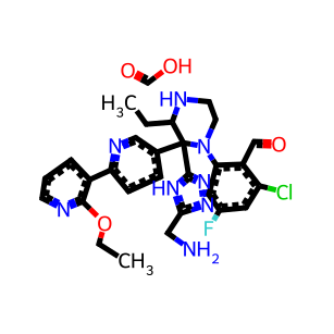 CCOc1ncccc1-c1ccc(C2(c3nnc(CN)[nH]3)C(CC)NCCN2c2cc(F)cc(Cl)c2C=O)cn1.O=CO